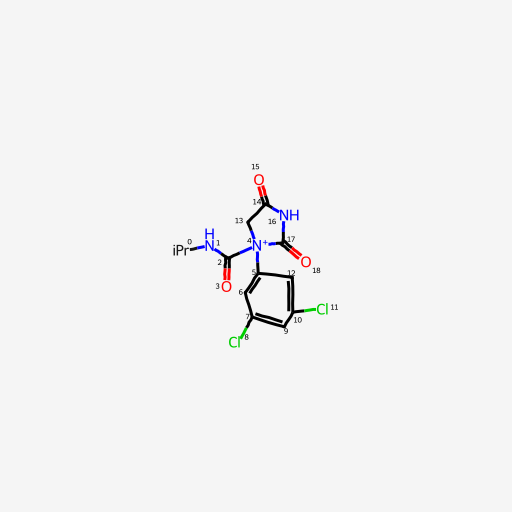 CC(C)NC(=O)[N+]1(c2cc(Cl)cc(Cl)c2)CC(=O)NC1=O